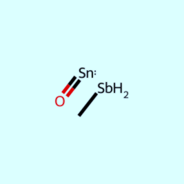 [CH3][SbH2].[O]=[Sn]